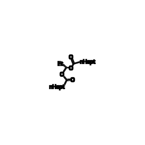 CCCCCCCC(=O)OC(CC)OC(=O)CCCCCCC